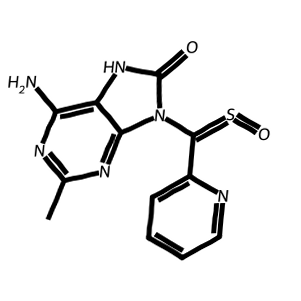 Cc1nc(N)c2[nH]c(=O)n(C(=S=O)c3ccccn3)c2n1